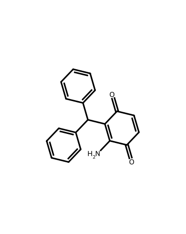 NC1=C(C(c2ccccc2)c2ccccc2)C(=O)C=CC1=O